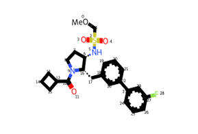 COCS(=O)(=O)N[C@H]1CCN(C(=O)C2CCC2)[C@H]1Cc1cccc(-c2cccc(F)c2)c1